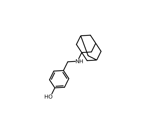 Oc1ccc(CNC23CC4CC(CC(C4)C2)C3)cc1